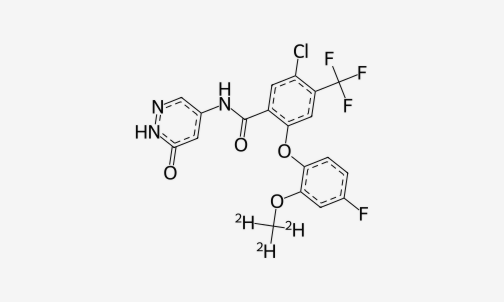 [2H]C([2H])([2H])Oc1cc(F)ccc1Oc1cc(C(F)(F)F)c(Cl)cc1C(=O)Nc1cn[nH]c(=O)c1